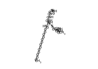 COCCOCCOCCOCCOCCOCCOCCOCCOCCOCCOCCOCCOCCC(=O)NCCCC[C@H](NC(=O)CCCSSCCC(=O)OC[C@H]1OC[C@H](NC(C)=O)[C@@H](O)[C@@H]1O)C(=O)NCCC(=O)NCCC(=O)N1Cc2ccccc2-c2[nH]nnc2-c2ccccc21